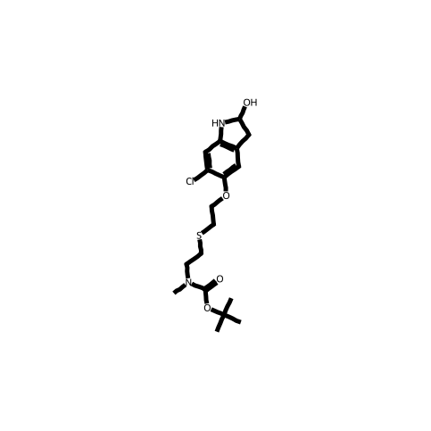 CN(CCSCCOc1cc2c(cc1Cl)NC(O)C2)C(=O)OC(C)(C)C